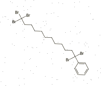 BrC(Br)(Br)CCCCCCCCCCC(Br)(Br)c1ccccc1